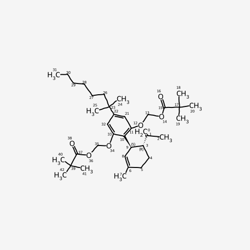 C=C(C)[C@@H]1CCC(C)=C[C@H]1c1c(OCOC(=O)C(C)(C)C)cc(C(C)(C)CCCCCC)cc1OCOC(=O)C(C)(C)C